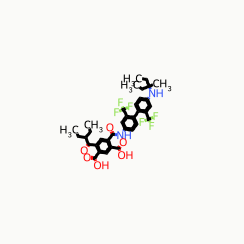 CCC(CC)C(=O)c1cc(C(=O)Nc2ccc(-c3ccc(NC(C)(CC)CC)cc3C(F)(F)F)c(C(F)(F)F)c2)c(C(=O)O)cc1C(=O)O